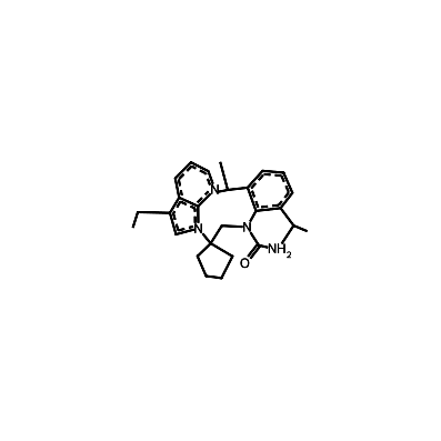 CCc1cn(C2(CN(C(N)=O)c3c(C(C)C)cccc3C(C)C)CCCC2)c2ncccc12